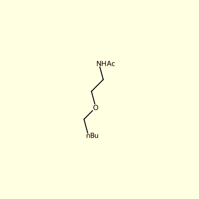 CCCCCOCCNC(C)=O